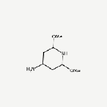 COC1CC(N)CC(OC)N1